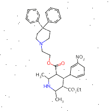 CCOC(=O)C1C(C)NC(C)C(C(=O)OCCN2CCC(c3ccccc3)(c3ccccc3)CC2)C1C1C=CCC([N+](=O)[O-])=C1